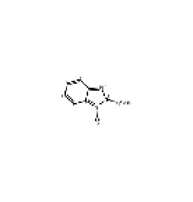 CCCCCn1nc2ccccc2[n+]1[O-]